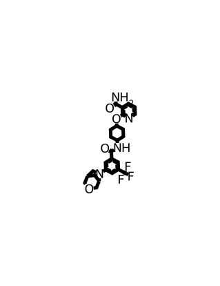 NC(=O)c1cccnc1OC1CCC(NC(=O)c2cc(N3CC4COCC3C4)cc(C(F)(F)F)c2)CC1